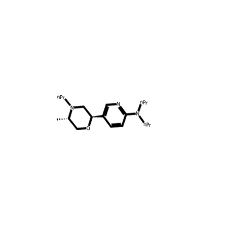 CCCN(CCC)c1ccc([C@@H]2CN(CCC)[C@@H](C)CO2)cn1